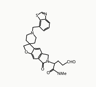 CNC(=O)C(CCC=O)N1Cc2cc3c(cc2C1=O)OCC31CCN(Cc2cccc3ncsc23)CC1